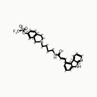 O=C(C=Cc1cccc2[nH]c3ncccc3c12)NCCCCN1CCc2ccc(OS(=O)(=O)C(F)(F)F)cc2C1